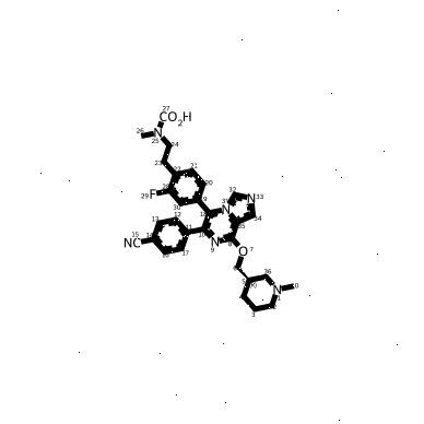 CN1CCC[C@@H](COc2nc(-c3ccc(C#N)cc3)c(-c3ccc(CCN(C)C(=O)O)c(F)c3)n3cncc23)C1